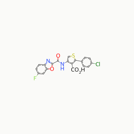 O=C(Nc1csc(-c2ccc(Cl)cc2)c1C(=O)O)c1nc2ccc(F)cc2o1